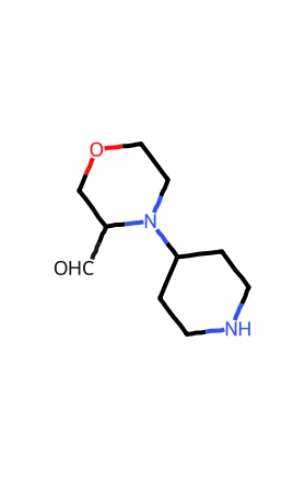 O=CC1COCCN1C1CCNCC1